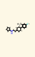 Cc1cc(F)ccc1C1CCC(CCNC2CCCC2)CC1